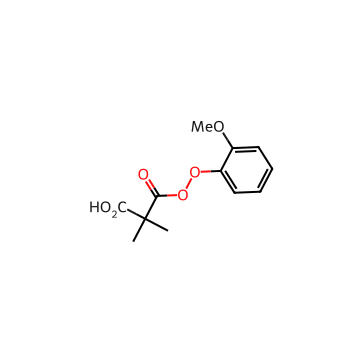 COc1ccccc1OOC(=O)C(C)(C)C(=O)O